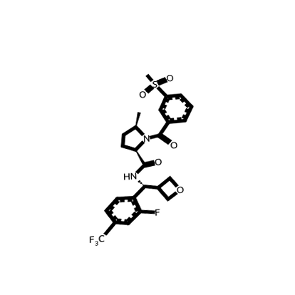 C[C@@H]1CC[C@H](C(=O)N[C@@H](c2ccc(C(F)(F)F)cc2F)C2COC2)N1C(=O)c1cccc(S(C)(=O)=O)c1